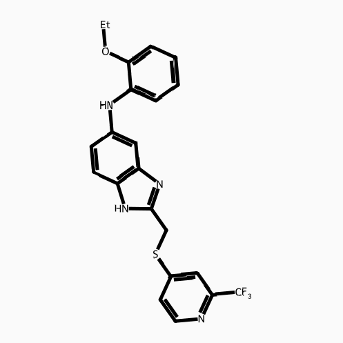 CCOc1ccccc1Nc1ccc2[nH]c(CSc3ccnc(C(F)(F)F)c3)nc2c1